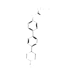 CCCCCC(=O)Oc1ccc(-c2ccc(C3CCC(CCC)CC3)cc2)cc1